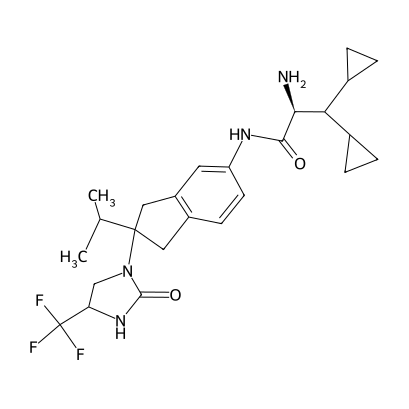 CC(C)C1(N2CC(C(F)(F)F)NC2=O)Cc2ccc(NC(=O)[C@@H](N)C(C3CC3)C3CC3)cc2C1